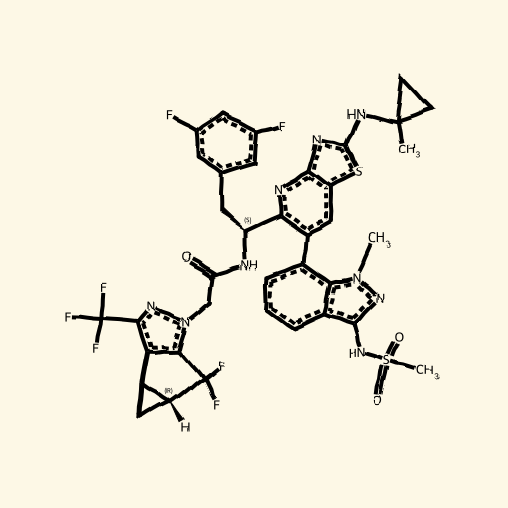 Cn1nc(NS(C)(=O)=O)c2cccc(-c3cc4sc(NC5(C)CC5)nc4nc3[C@H](Cc3cc(F)cc(F)c3)NC(=O)Cn3nc(C(F)(F)F)c4c3C(F)(F)[C@@H]3CC43)c21